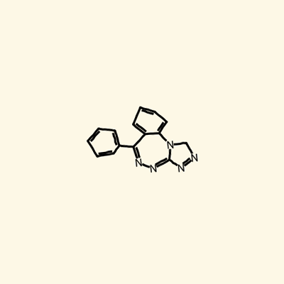 c1ccc(C2=NN=C3N=NCN3c3ccccc32)cc1